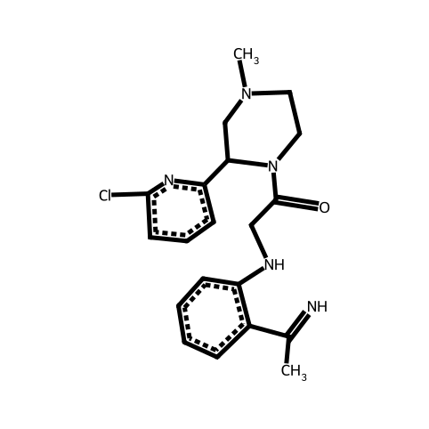 CC(=N)c1ccccc1NCC(=O)N1CCN(C)CC1c1cccc(Cl)n1